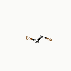 Br[Se][Se]Br